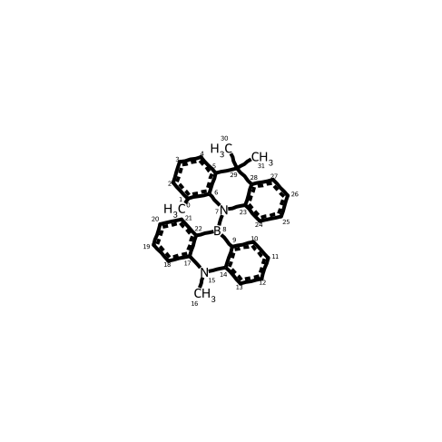 Cc1cccc2c1N(B1c3ccccc3N(C)c3ccccc31)c1ccccc1C2(C)C